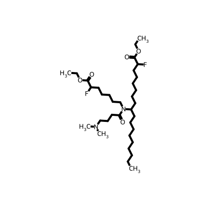 CCCCCCCCCC(CCCCCCC(F)C(=O)OCC)N(CCCCCC(F)C(=O)OCC)C(=O)CCCN(C)C